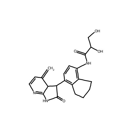 C=C1C=CN=C2NC(=O)C(c3ccc(NC(=O)C(O)CO)c4c3CCCC4)C12